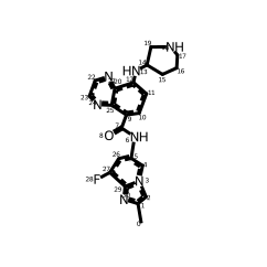 Cc1cn2cc(NC(=O)c3ccc(NC4CCCNC4)c4nccnc34)cc(F)c2n1